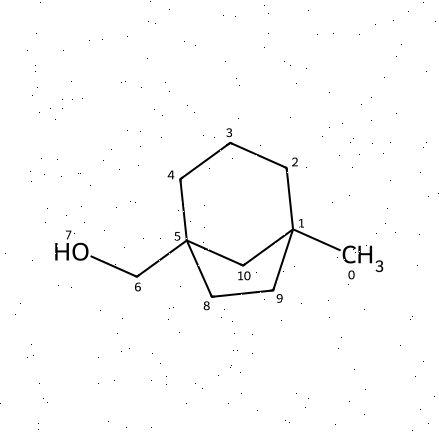 CC12CCCC(CO)(CC1)C2